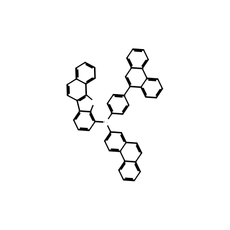 c1ccc2c(c1)ccc1cc(N(c3ccc(-c4cc5ccccc5c5ccccc45)cc3)c3cccc4c3sc3c5ccccc5ccc43)ccc12